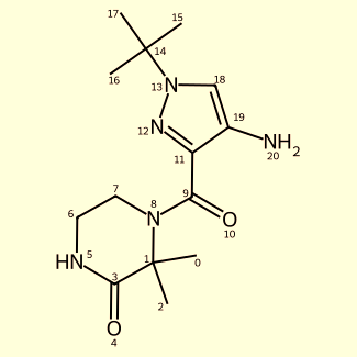 CC1(C)C(=O)NCCN1C(=O)c1nn(C(C)(C)C)cc1N